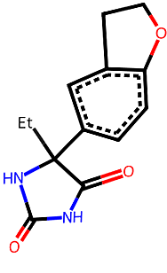 CCC1(c2ccc3c(c2)CCO3)NC(=O)NC1=O